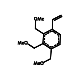 C=Cc1ccc(COC)c(COC)c1COC